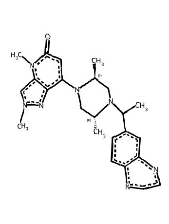 CC(c1ccc2nccnc2c1)N1C[C@H](C)N(c2cc(=O)n(C)c3cn(C)nc23)C[C@H]1C